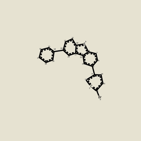 Brc1ccc(-c2ccc3sc4ccc(-c5ccccc5)cc4c3c2)cc1